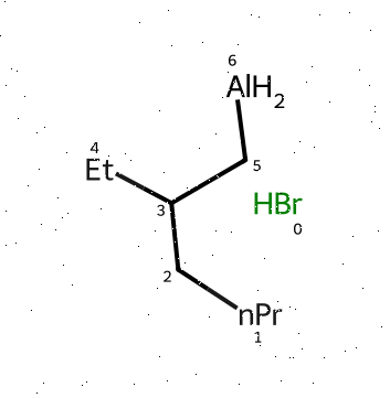 Br.CCCCC(CC)[CH2][AlH2]